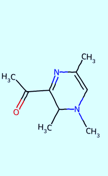 CC(=O)C1=NC(C)=CN(C)C1C